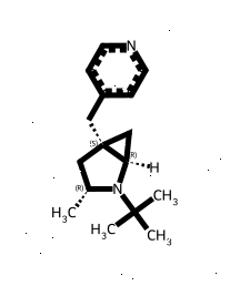 C[C@@H]1C[C@@]2(Cc3ccncc3)C[C@H]2N1C(C)(C)C